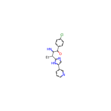 CCC(C(=N)C(=O)c1ccc(Cl)cc1)c1ncc(-c2cccnc2)[nH]1